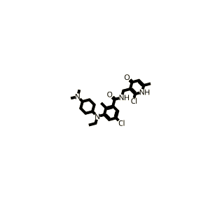 CCN(c1cc(Cl)cc(C(=O)NCc2c(Cl)[nH]c(C)cc2=O)c1C)C1CCC(N(C)C)CC1